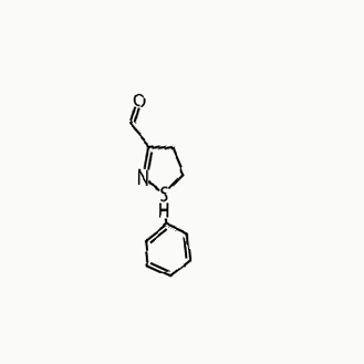 O=CC1=N[SH](c2ccccc2)CC1